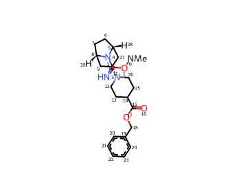 CNOC(=N)N1[C@@H]2CC[C@H]1C[C@@H](N1CCC(C(=O)OCc3ccccc3)CC1)C2